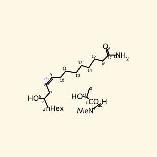 CC(O)C(=O)O.CCCCCCC(O)C/C=C\CCCCCCCC(N)=O.CNC